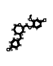 COc1cc(Cl)ccc1OCN1CC(Cc2ccc(Cl)cc2)CCCO1